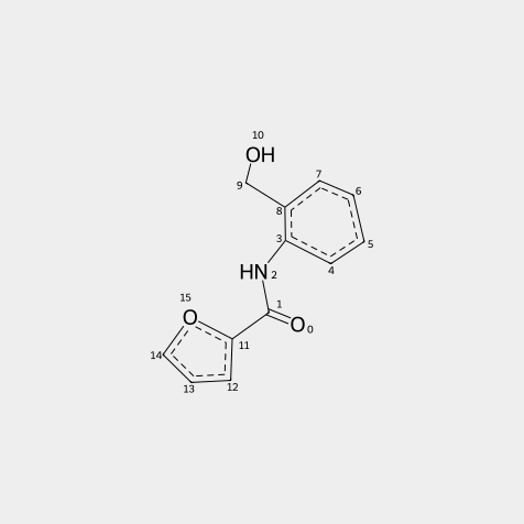 O=C(Nc1ccccc1CO)c1ccco1